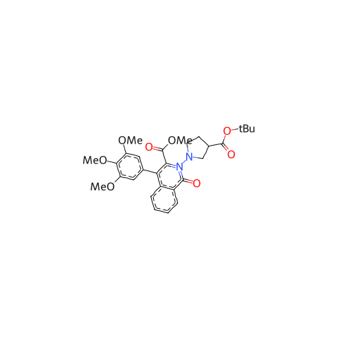 COC(=O)c1c(-c2cc(OC)c(OC)c(OC)c2)c2ccccc2c(=O)n1N1CCC(C(=O)OC(C)(C)C)C1